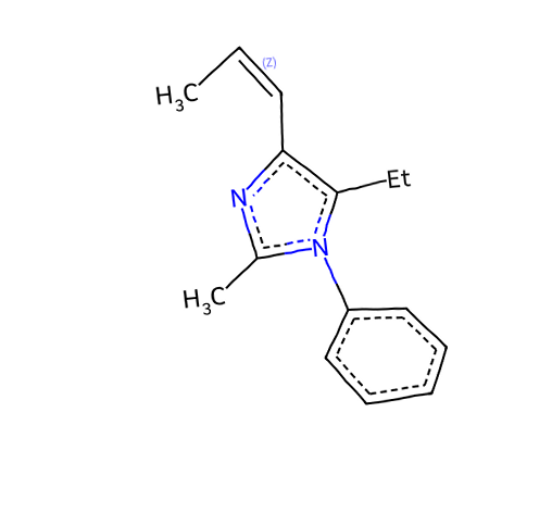 C/C=C\c1nc(C)n(-c2ccccc2)c1CC